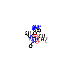 CCCCc1nc2c(c(=O)n(C(C)OC)c(=O)n2CCc2ccccc2)n1Cc1ccc(-c2ccccc2-c2nnn[nH]2)cc1